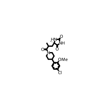 COc1cc(Cl)ccc1C1CCN(C(=O)C(C)C[C@@]2(C)NC(=O)NC2=O)CC1